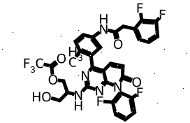 Cc1ccc(NC(=O)Cc2cccc(F)c2F)cc1-c1nc(NC(CO)COC(=O)C(F)(F)F)nc2c1ccc(=O)n2-c1c(F)cccc1F